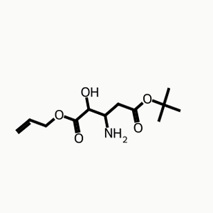 C=CCOC(=O)C(O)C(N)CC(=O)OC(C)(C)C